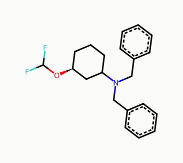 FC(F)O[C@H]1CCCC(N(Cc2ccccc2)Cc2ccccc2)C1